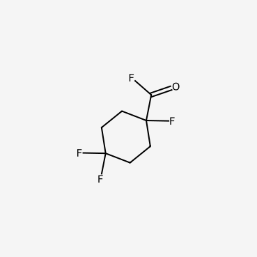 O=C(F)C1(F)CCC(F)(F)CC1